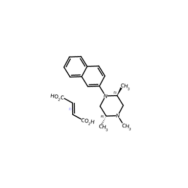 C[C@@H]1CN(c2ccc3ccccc3c2)[C@@H](C)CN1C.O=C(O)/C=C/C(=O)O